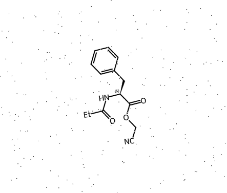 CCC(=O)N[C@@H](Cc1ccccc1)C(=O)OCC#N